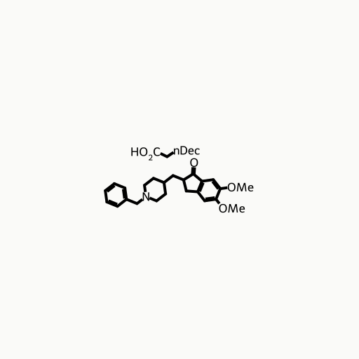 CCCCCCCCCCCC(=O)O.COc1cc2c(cc1OC)C(=O)C(CC1CCN(Cc3ccccc3)CC1)C2